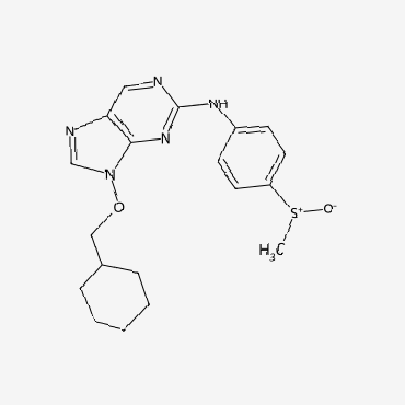 C[S+]([O-])c1ccc(Nc2ncc3ncn(OCC4CCCCC4)c3n2)cc1